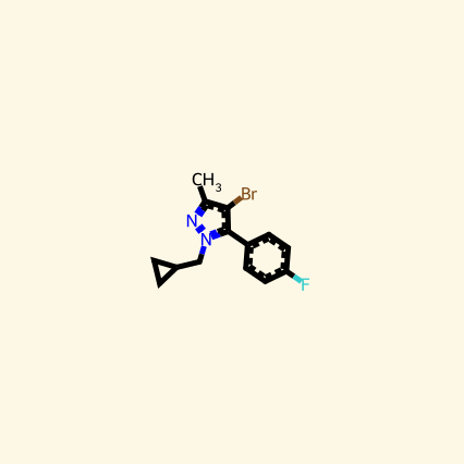 Cc1nn(CC2CC2)c(-c2ccc(F)cc2)c1Br